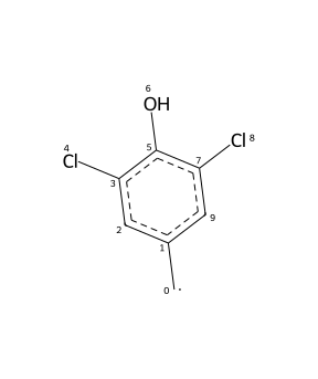 [CH2]c1cc(Cl)c(O)c(Cl)c1